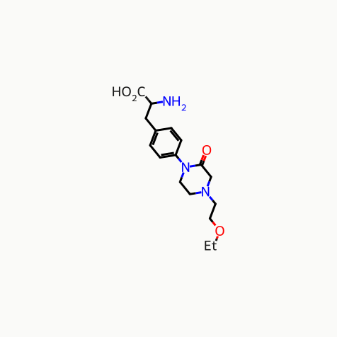 CCOCCN1CCN(c2ccc(CC(N)C(=O)O)cc2)C(=O)C1